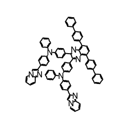 c1ccc(-c2ccc(-c3ccc(-c4ccc(-c5ccccc5)cc4)c4nc(-c5ccc(N(c6ccccc6)c6ccc(-c7cn8ccccc8n7)cc6)cc5)c(-c5ccc(N(c6ccccc6)c6ccc(-c7cn8ccccc8n7)cc6)cc5)nc34)cc2)cc1